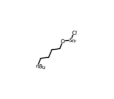 CCCCCCCC[O][Sn][Cl]